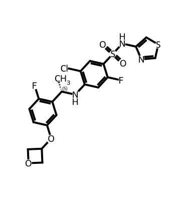 C[C@H](Nc1cc(F)c(S(=O)(=O)Nc2cscn2)cc1Cl)c1cc(OC2COC2)ccc1F